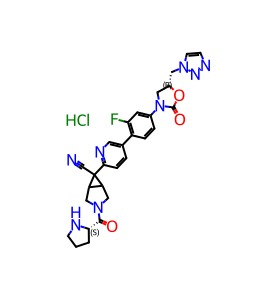 Cl.N#CC1(c2ccc(-c3ccc(N4C[C@H](Cn5ccnn5)OC4=O)cc3F)cn2)C2CN(C(=O)[C@@H]3CCCN3)CC21